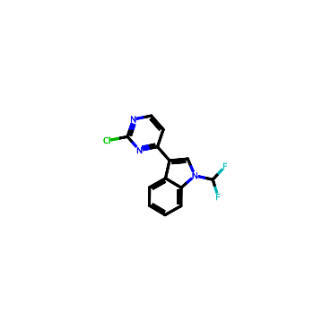 FC(F)n1cc(-c2ccnc(Cl)n2)c2ccccc21